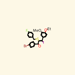 CCOc1ccc(C(I)=C(SCc2ccc(F)cc2)C(=O)c2ccc(Br)cc2)cc1OC